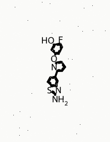 Nc1nc2cc(-c3cccc(Oc4ccc(F)c(O)c4)n3)ccc2s1